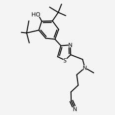 CN(CCCC#N)Cc1nc(-c2cc(C(C)(C)C)c(O)c(C(C)(C)C)c2)cs1